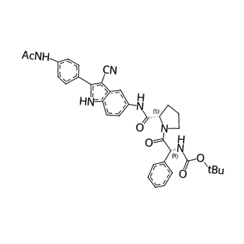 CC(=O)Nc1ccc(-c2[nH]c3ccc(NC(=O)[C@@H]4CCCN4C(=O)[C@H](NC(=O)OC(C)(C)C)c4ccccc4)cc3c2C#N)cc1